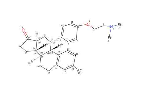 CCN(CC)CCOc1ccc([C@H]2C[C@]3(C)C(=O)CC[C@H]3[C@@H]3CCc4cc(C(C)=O)ccc4[C@H]32)cc1